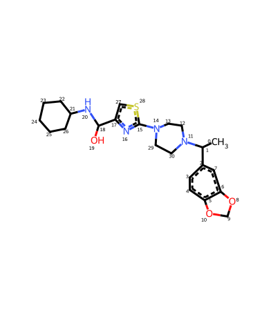 CC(c1ccc2c(c1)OCO2)N1CCN(c2nc(C(O)NC3CCCCC3)cs2)CC1